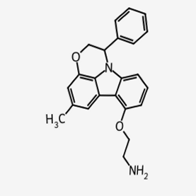 Cc1cc2c3c(c1)c1c(OCCN)cccc1n3C(c1ccccc1)CO2